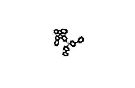 c1ccc(-c2ccc(N(c3ccc(-c4ccccc4)cc3)c3ccc4c(c3)-c3c(ccc5ccccc35)C43c4ccccc4-c4ccccc43)cc2)cc1